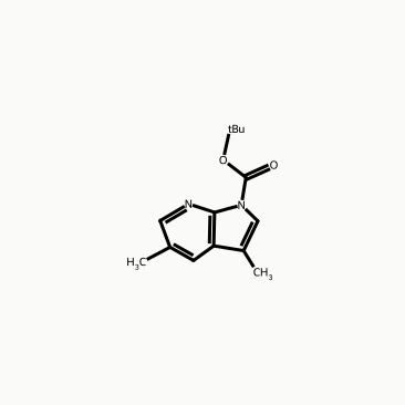 Cc1cnc2c(c1)c(C)cn2C(=O)OC(C)(C)C